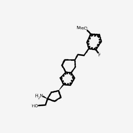 COc1ccc(F)c(CCC2CCc3cc([C@H]4CC[C@](N)(CO)C4)ccc3C2)c1